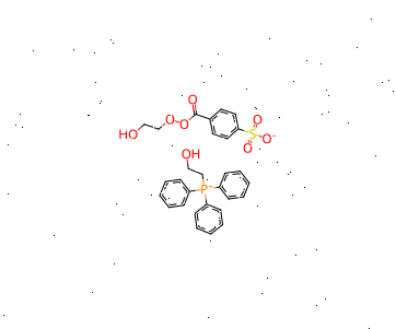 O=C(OOCCO)c1ccc(S(=O)(=O)[O-])cc1.OCC[P+](c1ccccc1)(c1ccccc1)c1ccccc1